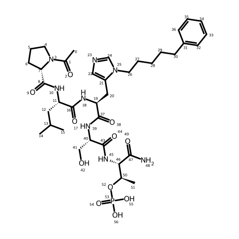 CC(=O)N1CCC[C@H]1C(=O)N[C@@H](CC(C)C)C(=O)N[C@@H](Cc1cncn1CCCCCc1ccccc1)C(=O)N[C@@H](CO)C(=O)N[C@H](C(N)=O)[C@@H](C)OP(=O)(O)O